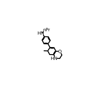 CCCNc1ccc(C2=CC3=C(CC2C)NCCO3)cc1